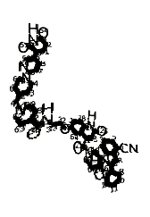 N#Cc1cccc2[nH]c(-c3ccccc3OC3(C(F)(F)F)CCN(C(=O)[C@H]4CC(=O)Nc5ccc(OCCNC(=O)C6CCN(CC7CCN(c8ccc(C9CCC(=O)NC9=O)cn8)CC7)CC6)cc54)CC3)cc12